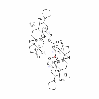 CC1(C)C(N2CCCC2)C/C(=N/OC(=O)/C=C/C(=O)O/N=C2/CC(N3CCCC3)C(C)(C)C3CC[C@@H]4[C@@H](CC[C@]5(C)C(=O)CC[C@@H]45)[C@@]23C)[C@@]2(C)C1CC[C@@H]1[C@H]2CC[C@]2(C)C(=O)CC[C@@H]12